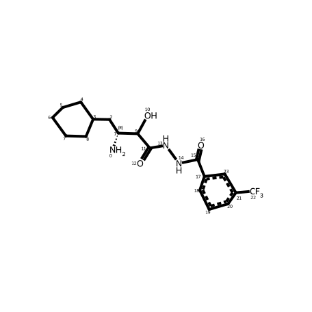 N[C@H](CC1CCCCC1)C(O)C(=O)NNC(=O)c1cccc(C(F)(F)F)c1